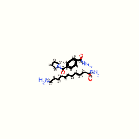 NC(=O)c1ccc(C(=O)N2CCCC2)cc1.NCCCCCCCCCCC(N)=O